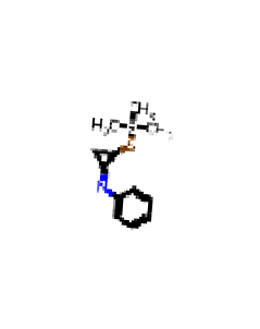 C[Si](C)(C)SC1CC1=Nc1ccccc1